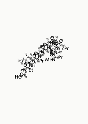 C=C(CN(C)C(=O)[C@H](CC)NC(=O)[C@H]([C@H](C)[C@H](C)C/C=C/C)N(C)C(=O)[C@H](C(C)C)N(C)C(=O)[C@H](CC(C)C)N(C)C(=O)[C@H](CC(C)C)N(C)C(=O)[C@@H](C)NC(=O)[C@H](C)NC(=O)[C@H](CC(C)C)N(C)C(=O)[C@@H](NC(=O)[C@@H](NC)C(C)C)C(C)C)OO